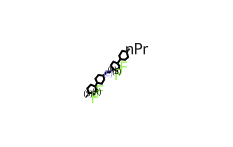 CCCC1CCC(C2CC[C@H](/C=C/C3CCC(C4CC[C@H](C)C(F)[C@@H]4F)CC3)[C@H](F)C2F)CC1